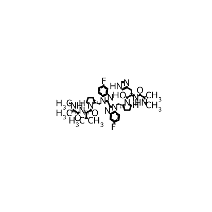 CN[C@H](C)C(=O)N[C@H](Cc1c[nH]cn1)C(O)N1CCC[C@H]1Cn1c(-c2nc3cc(F)ccc3n2C[C@@H]2CCCN2C(=O)[C@H](NC(=O)[C@@H](C)NC)C(C)C)nc2cc(F)ccc21